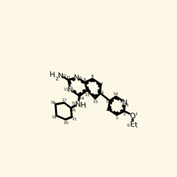 CCOc1ccc(-c2ccc3nc(N)nc(NC4CCCCC4)c3c2)cn1